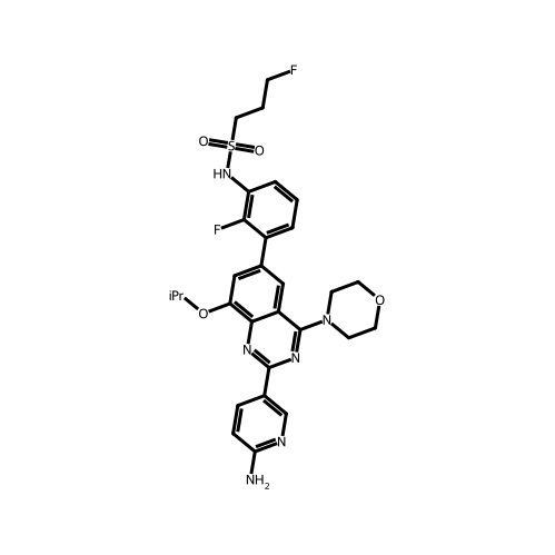 CC(C)Oc1cc(-c2cccc(NS(=O)(=O)CCCF)c2F)cc2c(N3CCOCC3)nc(-c3ccc(N)nc3)nc12